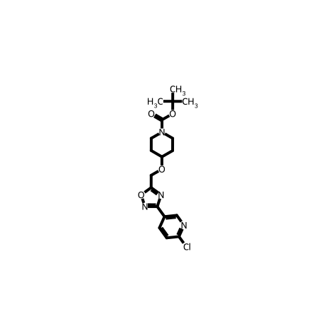 CC(C)(C)OC(=O)N1CCC(OCc2nc(-c3ccc(Cl)nc3)no2)CC1